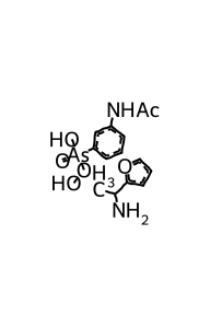 CC(=O)Nc1cccc([As](=O)(O)OO)c1.CC(N)c1ccco1